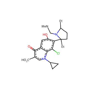 CCC1CCC(CC)(c2c(O)cc3c(=O)c(C(=O)O)cn(C4CC4)c3c2Cl)N1CNC